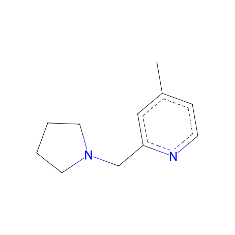 Cc1ccnc(CN2CCCC2)c1